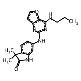 CCCNc1nc(Nc2ccc3c(c2)NC(=O)C3(C)C)nc2ccoc12